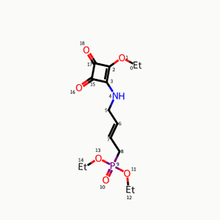 CCOc1c(NCC=CCP(=O)(OCC)OCC)c(=O)c1=O